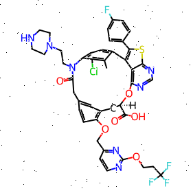 Cc1c2ccc(c1Cl)N(CCN1CCNCC1)C(=O)Cc1ccc(OCc3ccnc(OCCC(F)(F)F)n3)c(c1)C[C@H](C(=O)O)Oc1ncnc3sc(-c4ccc(F)cc4)c-2c13